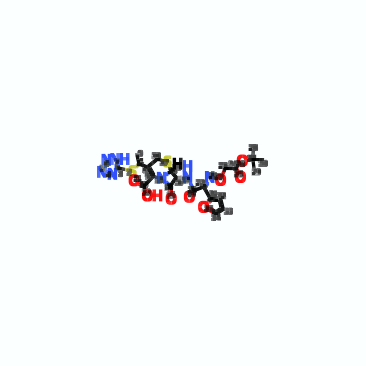 CC(Sc1nnn[nH]1)C1=C(C(=O)O)N2C(=O)[C@@H](NC(=O)C(=NOCC(=O)OC(C)(C)C)c3ccco3)[C@H]2SC1